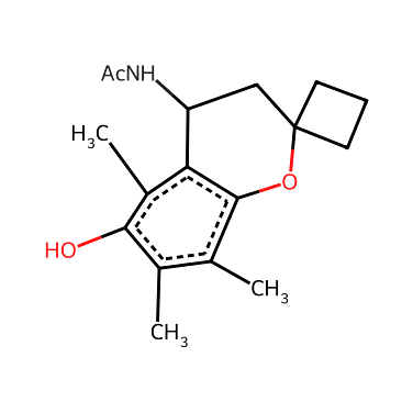 CC(=O)NC1CC2(CCC2)Oc2c(C)c(C)c(O)c(C)c21